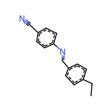 CCc1ccc(C=Nc2ccc(C#N)cc2)cc1